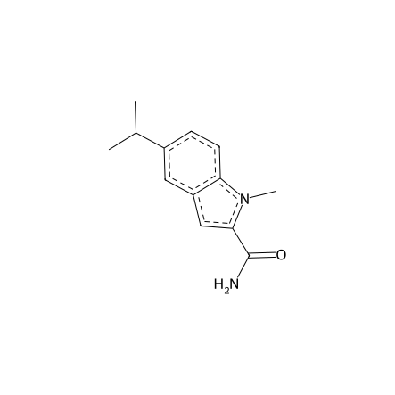 CC(C)c1ccc2c(c1)cc(C(N)=O)n2C